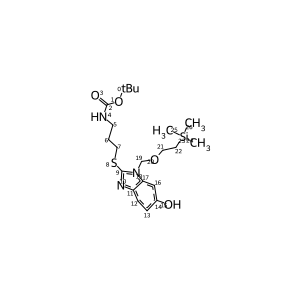 CC(C)(C)OC(=O)NCCCSc1nc2ccc(O)cc2n1COCC[Si](C)(C)C